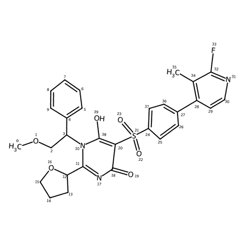 COCC(c1ccccc1)n1c(C2CCCO2)nc(=O)c(S(=O)(=O)c2ccc(-c3ccnc(F)c3C)cc2)c1O